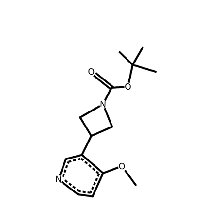 COc1ccncc1C1CN(C(=O)OC(C)(C)C)C1